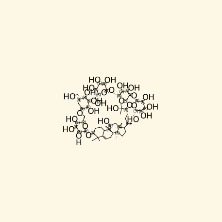 C[C@H](CC[C@@H](O[C@@H]1O[C@H](CO[C@@H]2O[C@H](CO)[C@@H](O)[C@H](O)[C@H]2O)[C@@H](O)[C@H](O)[C@H]1O[C@H]1O[C@@H](CO)[C@H](O)[C@@H](O)[C@@H]1O)C(C)(C)O)C1CC[C@@]2(C)C3CC=C4C(CC[C@H](O[C@@H]5O[C@H](CO[C@@H]6C[C@H](CO)[C@@H](O)[C@H](O)[C@H]6O)[C@@H](O)[C@H](O)[C@H]5O)C4(C)C)[C@]3(C)[C@H](O)C[C@]12C